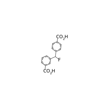 O=C(O)c1ccc(C(F)c2cccc(C(=O)O)c2)cc1